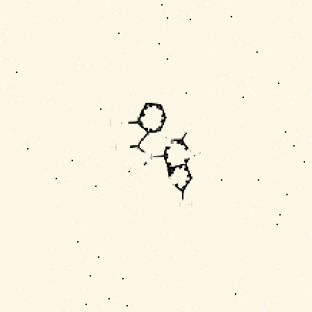 Cc1cc2nc(Cl)nc(N(C)C(C)c3ccccc3C(F)(F)F)c2s1